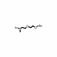 CCCCOCCOCCN(C)C(C)=O